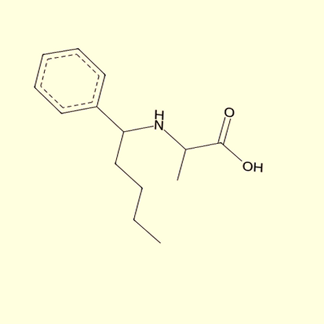 CCCCC(NC(C)C(=O)O)c1ccccc1